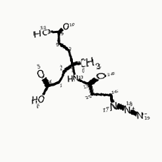 CC(CCC(=O)O)(CCC(=O)O)NC(=O)CCN=[N+]=[N-]